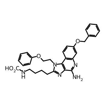 Nc1nc2cc(OCc3ccccc3)ccc2c2c1nc(CCCCNC(=O)O)n2CCOc1ccccc1